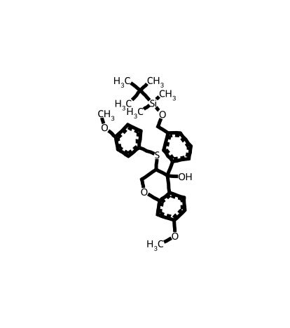 COc1ccc(SC2COc3cc(OC)ccc3C2(O)c2cccc(CO[Si](C)(C)C(C)(C)C)c2)cc1